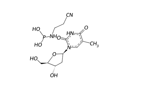 Cc1cn([C@H]2C[C@H](O)[C@@H](CO)O2)c(=O)[nH]c1=O.N#CCCNP(O)O